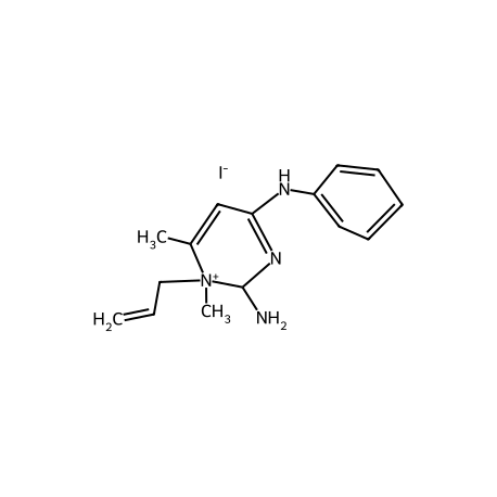 C=CC[N+]1(C)C(C)=CC(Nc2ccccc2)=NC1N.[I-]